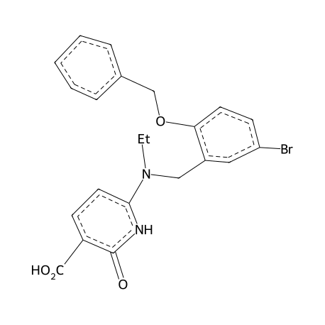 CCN(Cc1cc(Br)ccc1OCc1ccccc1)c1ccc(C(=O)O)c(=O)[nH]1